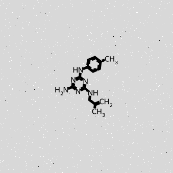 C=C(C)CNc1nc(N)nc(Nc2ccc(C)cc2)n1